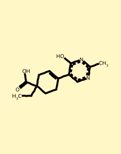 CCC1(C(=O)O)CC=C(c2cnc(C)nc2O)CC1